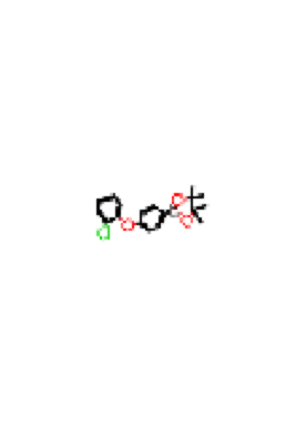 CC1(C)OB(c2ccc(Oc3ccccc3Cl)cc2)OC1(C)C